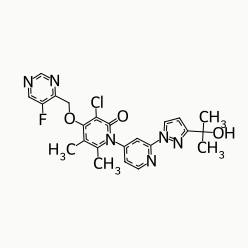 Cc1c(OCc2ncncc2F)c(Cl)c(=O)n(-c2ccnc(-n3ccc(C(C)(C)O)n3)c2)c1C